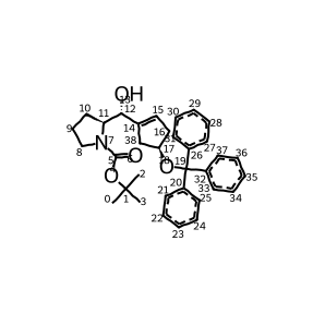 CC(C)(C)OC(=O)N1CCC[C@H]1[C@H](O)C1=CC[C@@H](OC(c2ccccc2)(c2ccccc2)c2ccccc2)C1